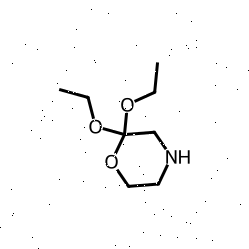 CCOC1(OCC)CNCCO1